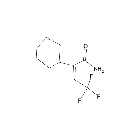 NC(=O)C(=CC(F)(F)F)C1CCCCC1